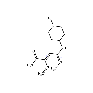 C=N/C(=C\C(=N/C)NC1CCN(C(C)=O)CC1)C(N)=O